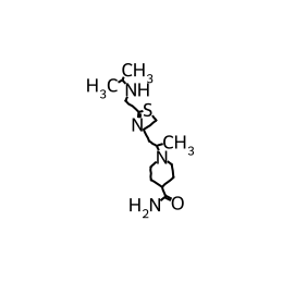 CC(C)NCC1=NC(CC(C)N2CCC(C(N)=O)CC2)CS1